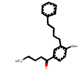 COc1ccc(C(=O)CCCC(=O)O)cc1CCCCc1ccccc1